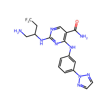 NCC(CC(F)(F)F)Nc1ncc(C(N)=O)c(Nc2cccc(-n3nccn3)c2)n1